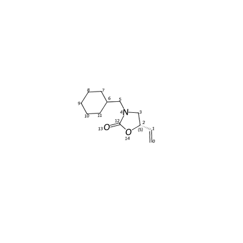 C=C[C@H]1CN(CC2CCCCC2)C(=O)O1